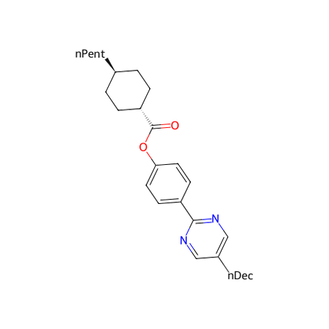 CCCCCCCCCCc1cnc(-c2ccc(OC(=O)[C@H]3CC[C@H](CCCCC)CC3)cc2)nc1